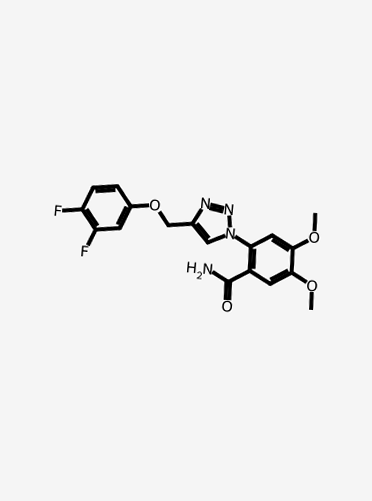 COc1cc(C(N)=O)c(-n2cc(COc3ccc(F)c(F)c3)nn2)cc1OC